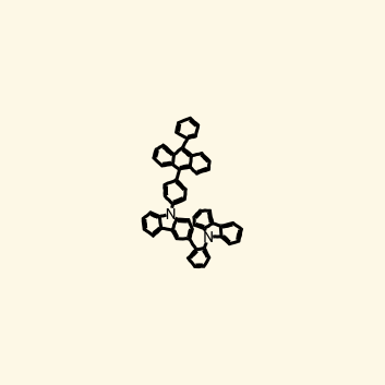 c1ccc(-c2c3ccccc3c(-c3ccc(-n4c5ccccc5c5cc(-c6ccccc6-n6c7ccccc7c7ccccc76)ccc54)cc3)c3ccccc23)cc1